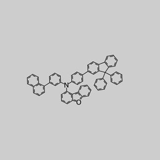 c1ccc(C2(c3ccccc3)c3ccccc3-c3ccc(-c4ccc(N(c5cccc(-c6cccc7ccccc67)c5)c5cccc6oc7ccccc7c56)cc4)cc32)cc1